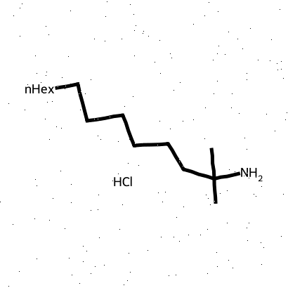 CCCCCCCCCCCCC(C)(C)N.Cl